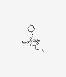 C=CC(=O)O[Si](OC)(OC)OCc1ccccc1